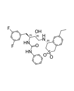 CCc1ccc2c(c1)[C@@H](NC[C@@H](O)[C@H](Cc1cc(F)cc(F)c1)NC(=O)Nc1ccccc1)CS(=O)(=O)C2